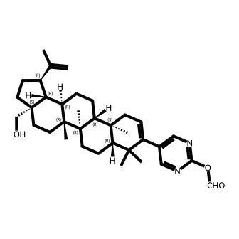 C=C(C)[C@@H]1CC[C@]2(CO)CC[C@]3(C)[C@H](CC[C@@H]4[C@@]5(C)CC=C(c6cnc(OC=O)nc6)C(C)(C)[C@@H]5CC[C@]43C)[C@@H]12